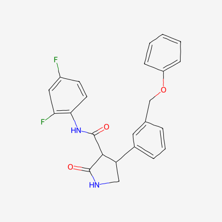 O=C1NCC(c2cccc(COc3ccccc3)c2)C1C(=O)Nc1ccc(F)cc1F